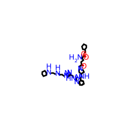 N[C@@H](CCC(=O)CN1CCC(Nc2nc(NCc3cn(CCCNCCCNC4CCCCC4)nn3)nc3ccccc23)CC1)C(=O)OCC1CCCCC1